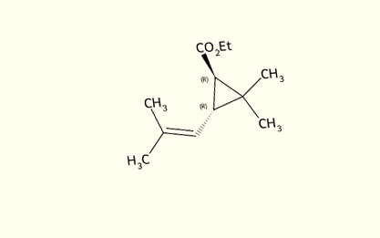 CCOC(=O)[C@@H]1[C@@H](C=C(C)C)C1(C)C